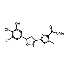 COC(=O)c1sc(C2=NOC(c3cc(O)c(Cl)c(Cl)c3)C2)cc1C